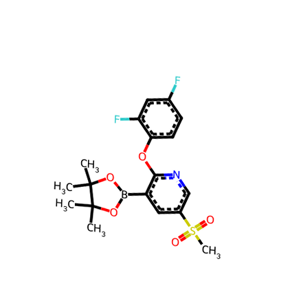 CC1(C)OB(c2cc(S(C)(=O)=O)cnc2Oc2ccc(F)cc2F)OC1(C)C